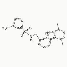 Cc1ccc(C)c2c1[nH]c1c(CNS(=O)(=O)c3cccc(C(F)(F)F)c3)cccc12